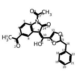 CC(=O)c1ccc2c(c1)C(=C(O)C1=COC(Cc3ccccc3)O1)C(=O)N2C(C)=O